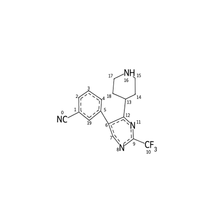 N#Cc1cccc(-c2cnc(C(F)(F)F)nc2C2CCNCC2)c1